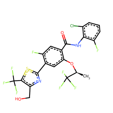 C[C@H](Oc1cc(-c2nc(CO)c(C(F)(F)F)s2)c(F)cc1C(=O)Nc1c(F)cccc1Cl)C(F)(F)F